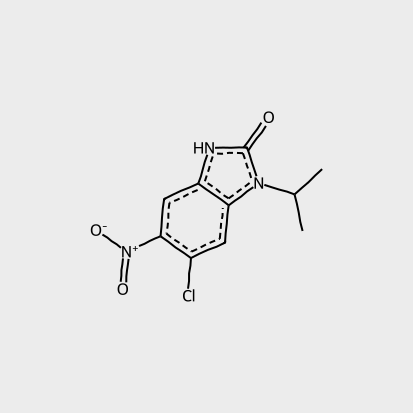 CC(C)n1c(=O)[nH]c2cc([N+](=O)[O-])c(Cl)cc21